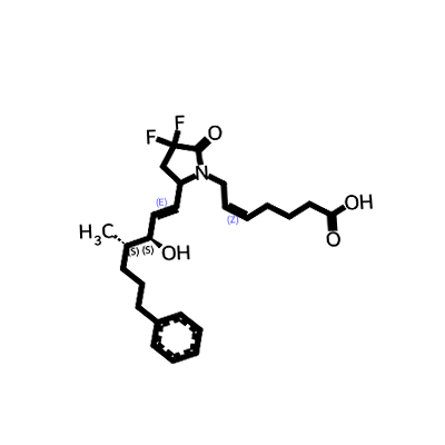 C[C@@H](CCCc1ccccc1)[C@H](O)/C=C/C1CC(F)(F)C(=O)N1C/C=C\CCCC(=O)O